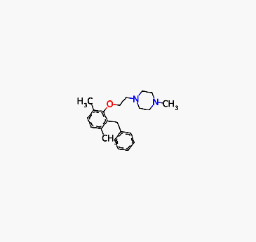 Cc1ccc(C)c(OCCN2CCN(C)CC2)c1Cc1ccccc1